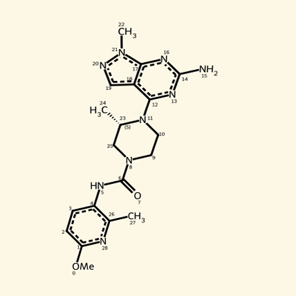 COc1ccc(NC(=O)N2CCN(c3nc(N)nc4c3cnn4C)[C@@H](C)C2)c(C)n1